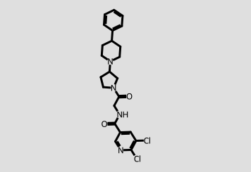 O=C(NCC(=O)N1CCC(N2CCC(c3ccccc3)CC2)C1)c1cnc(Cl)c(Cl)c1